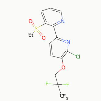 CCS(=O)(=O)c1cccnc1-c1ccc(OCC(F)(F)C(F)(F)F)c(Cl)n1